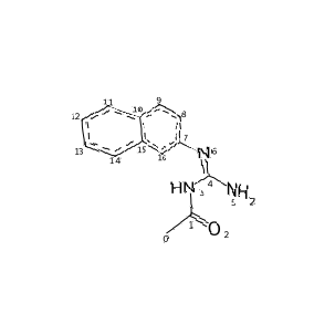 CC(=O)NC(N)=Nc1ccc2ccccc2c1